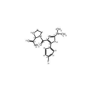 CN(C)c1nc(C(=O)N2CCOC2C(N)=O)c(-c2ccc(F)cc2)s1